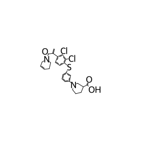 C=C(C(=O)N1CC=CCC1)c1ccc(Sc2cccc(N3CCCC(C(=O)O)C3)c2)c(Cl)c1Cl